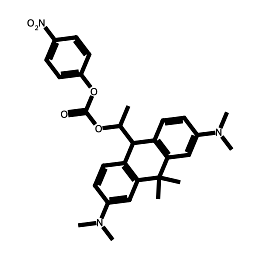 CC(OC(=O)Oc1ccc([N+](=O)[O-])cc1)C1c2ccc(N(C)C)cc2C(C)(C)c2cc(N(C)C)ccc21